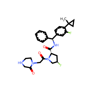 CC1(c2ccc([C@@H](NC(=O)[C@@H]3C[C@@H](F)CN3C(=O)CN3CCNCC3=O)c3ccccc3)cc2F)CC1